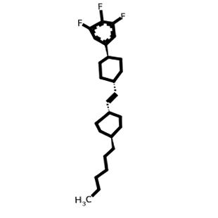 CCCCCC[C@H]1CC[C@H](/C=C/[C@H]2CC[C@H](c3cc(F)c(F)c(F)c3)CC2)CC1